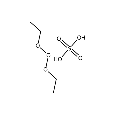 CCOOOCC.O=S(=O)(O)O